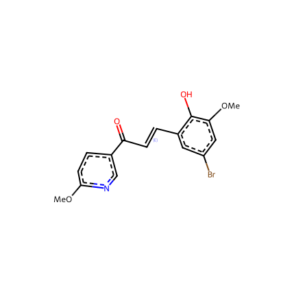 COc1ccc(C(=O)/C=C/c2cc(Br)cc(OC)c2O)cn1